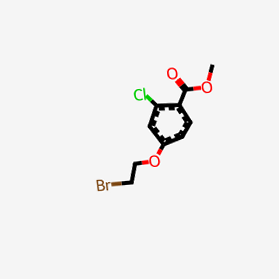 COC(=O)c1ccc(OCCBr)cc1Cl